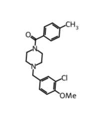 COc1ccc(CN2CCN(C(=O)c3ccc(C)cc3)CC2)cc1Cl